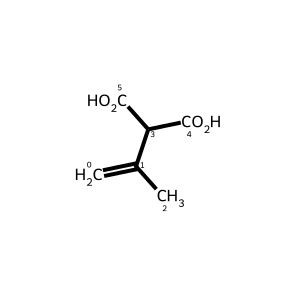 C=C(C)[C](C(=O)O)C(=O)O